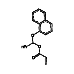 C=CC(=O)OC(CCC)Oc1cccc2ccccc12